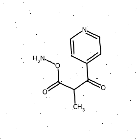 CC(C(=O)ON)C(=O)c1ccncc1